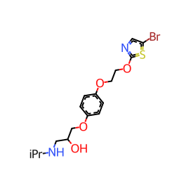 CC(C)NCC(O)COc1ccc(OCCOc2ncc(Br)s2)cc1